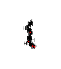 CSc1cnc(NCC(C)CNc2cnc(-n3ccc(CSc4cnc(NCC(C)CNc5ccc(-c6ncccn6)cn5)nc4)n3)cn2)nc1